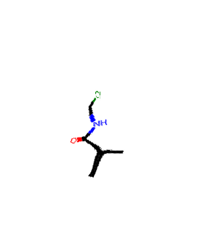 C=C(C)C(=O)NCCl